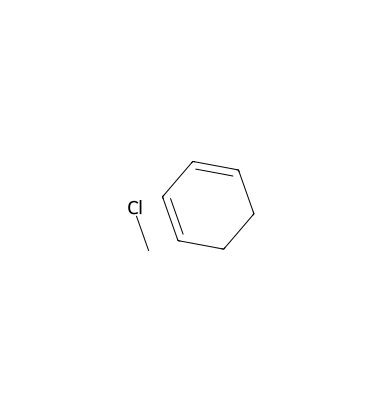 C1=CCCC=C1.CCl